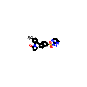 O=C1CCCN1c1cc(C(F)(F)F)ccc1C1CCc2cc(S(=O)(=O)Nc3ncccn3)ccc21